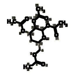 CC(=O)OC[C@@H]1C[C@H](OC(C)=O)[C@@H](OC(C)=O)C(OC(C)=O)O1